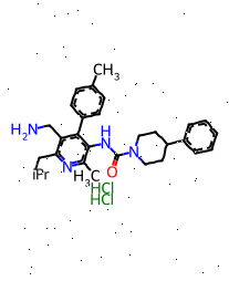 Cc1ccc(-c2c(CN)c(CC(C)C)nc(C)c2NC(=O)N2CCC(c3ccccc3)CC2)cc1.Cl.Cl